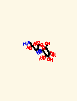 NCC(O)CCC(N[C@@H]1O[C@H](CO)[C@H](O)[C@H](O)[C@H]1O)C(=O)O